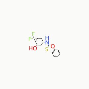 O[C@@H]1C[C@H](NC(=S)Oc2ccccc2)CC2C1C2(F)F